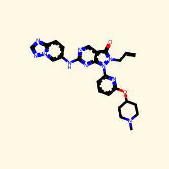 C=CCn1c(=O)c2cnc(Nc3ccc4ncnn4c3)nc2n1-c1cccc(OC2CCN(C)CC2)n1